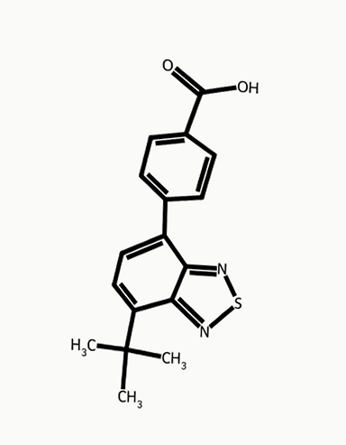 CC(C)(C)c1ccc(-c2ccc(C(=O)O)cc2)c2nsnc12